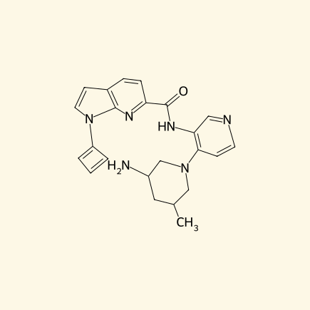 CC1CC(N)CN(c2ccncc2NC(=O)c2ccc3ccn(C4=CC=C4)c3n2)C1